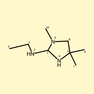 CCNC1NC(C)(C)CN1C